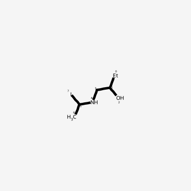 CCC(O)CNC(C)I